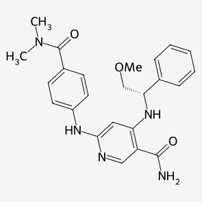 COC[C@@H](Nc1cc(Nc2ccc(C(=O)N(C)C)cc2)ncc1C(N)=O)c1ccccc1